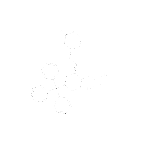 CC(C)(C)[Si](C)(C)OC1CCN(C(c2ccccc2)(c2ccccc2)c2ccccc2)C/C1=C\CN1CCNC(=O)C1